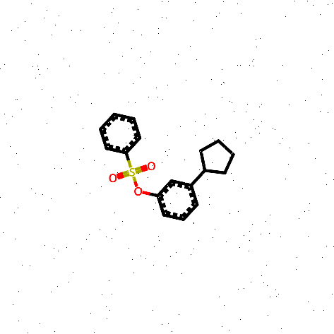 O=S(=O)(Oc1cccc(C2CCCC2)c1)c1ccccc1